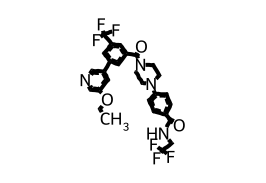 CCOc1cncc(-c2cc(C(=O)N3CCN(c4ccc(C(=O)NCC(F)(F)F)cc4)CC3)cc(C(F)(F)F)c2)c1